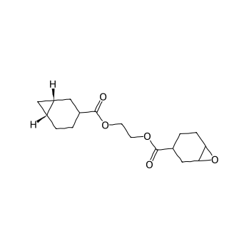 O=C(OCCOC(=O)C1CC[C@@H]2C[C@@H]2C1)C1CCC2OC2C1